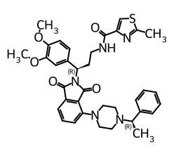 COc1ccc([C@@H](CCNC(=O)c2csc(C)n2)N2C(=O)c3cccc(N4CCN([C@H](C)c5ccccc5)CC4)c3C2=O)cc1OC